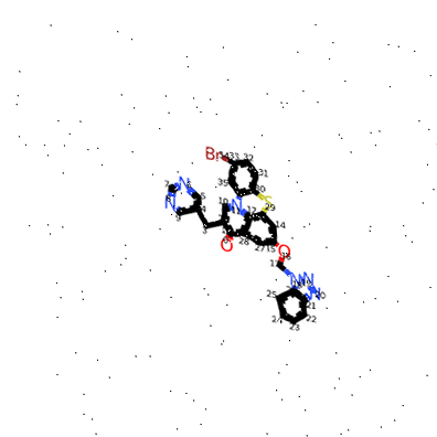 O=c1c(Cc2cncnc2)cn2c3c(cc(OCn4nnc5ccccc54)cc13)Sc1ccc(Br)cc1-2